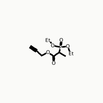 C#CCOC(=O)C(C)P(=O)(OCC)OCC